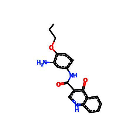 CCCOc1ccc(NC(=O)c2c[nH]c3ccccc3c2=O)cc1N